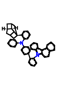 c1ccc(N(c2ccc(-c3ccccc3-n3c4ccccc4c4c5ccccc5ccc43)cc2)c2ccccc2[C@]23CC4C[C@H]5CC(C2)[C@H]5C43)cc1